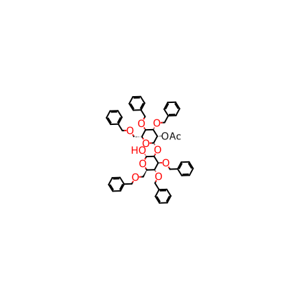 CC(=O)O[C@@H]1[C@H](O[C@H]2[C@@H](OCc3ccccc3)[C@H](OCc3ccccc3)[C@@H](COCc3ccccc3)O[C@@H]2O)O[C@H](COCc2ccccc2)[C@@H](OCc2ccccc2)[C@@H]1OCc1ccccc1